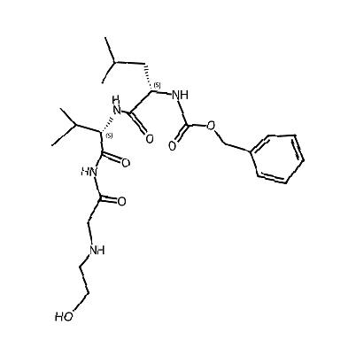 CC(C)C[C@H](NC(=O)OCc1ccccc1)C(=O)N[C@H](C(=O)NC(=O)CNCCO)C(C)C